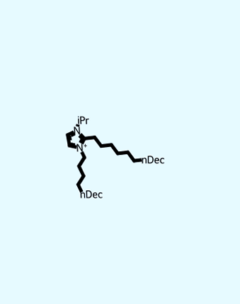 CCCCCCCCCCCCCCCCc1n(C(C)C)cc[n+]1CCCCCCCCCCCCCC